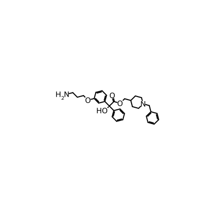 NCCCOc1cccc([C@](O)(C(=O)OCC2CCN(Cc3ccccc3)CC2)c2ccccc2)c1